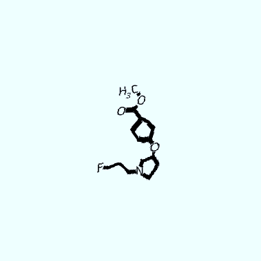 COC(=O)c1ccc(O[C@H]2CCN(CCCF)C2)cc1